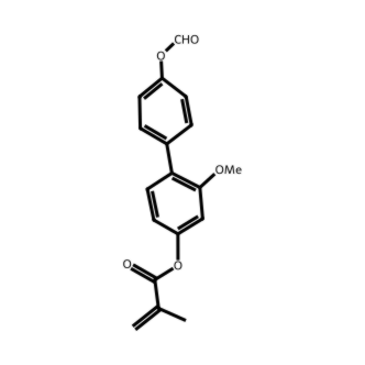 C=C(C)C(=O)Oc1ccc(-c2ccc(OC=O)cc2)c(OC)c1